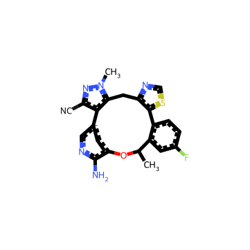 CC1Oc2cc(cnc2N)-c2c(C#N)nn(C)c2Cc2ncsc2-c2ccc(F)cc21